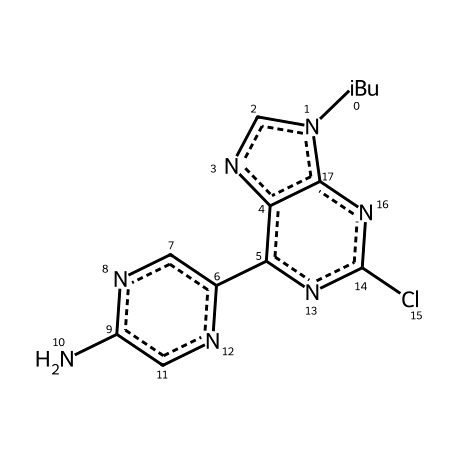 CCC(C)n1cnc2c(-c3cnc(N)cn3)nc(Cl)nc21